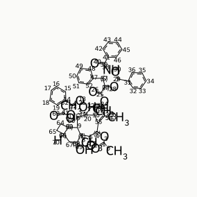 CC(=O)O[C@H]1C(=O)[C@@]2(C)C([C@H](OC(=O)c3ccccc3)[C@]3(O)C[C@H](OC(=O)[C@H](OC(=O)c4ccccc4)[C@@H](NC(=O)c4ccccc4)c4ccccc4)C(C)=C1C3(C)C)[C@]1(OC(C)=O)CC[C@@H]1C[C@@H]2O